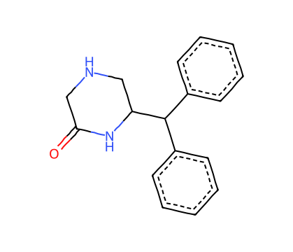 O=C1CNCC(C(c2ccccc2)c2ccccc2)N1